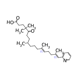 C/C(=C\c1ccccn1)CC/C=C(\C)CCCC(C)CCC(=O)C(C)(C)CCC(=O)O